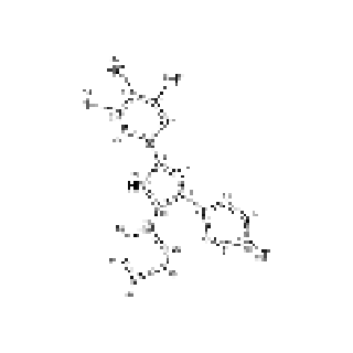 [3H]c1cc(-c2nc(-c3ccc(F)cc3)c(-c3ccncc3)[nH]2)cc([3H])c1O